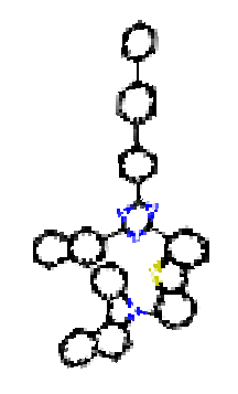 c1ccc(-c2ccc(-c3ccc(-c4nc(-c5ccc6ccccc6c5)nc(-c5cccc6c5sc5c(-n7c8ccccc8c8c9ccccc9ccc87)cccc56)n4)cc3)cc2)cc1